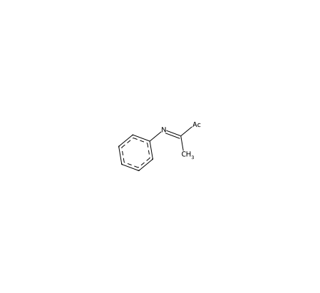 CC(=O)C(C)=Nc1ccccc1